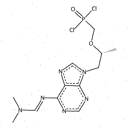 C[C@H](Cn1cnc2c(/N=C/N(C)C)ncnc21)OCP(=O)(Cl)Cl